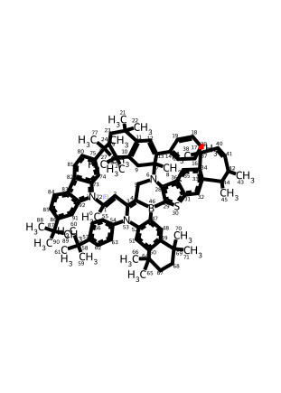 C/C(=C\C1=C2CN(C3(C)CC4=C(C=C3C3=CCCC=C3)C(C)(C)CCC4(C)C)c3c(sc4cc5c(cc34)C(C)(C)C=CC(C)C5C)B2c2cc3c(cc2N1c1ccc(C(C)(C)C)cc1)C(C)(C)CCC3(C)C)n1c2cc(C(C)(C)C)ccc2c2ccc(C(C)(C)C)cc21